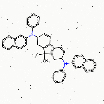 CC1(C)C2=C(C=CC(N(c3ccccc3)c3ccc4ccccc4c3)C2)C2=C1CC(N(c1ccccc1)c1ccc3ccccc3c1)C=C2